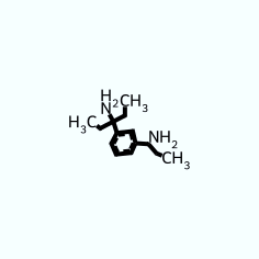 CCC(N)c1cccc(C(N)(CC)CC)c1